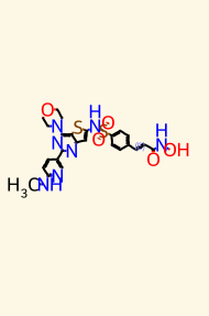 CNc1ccc(-c2nc(N3CCOCC3)c3sc(NS(=O)(=O)c4ccc(/C=C/C(=O)NO)cc4)cc3n2)cn1